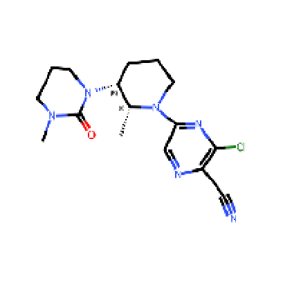 C[C@@H]1[C@H](N2CCCN(C)C2=O)CCCN1c1cnc(C#N)c(Cl)n1